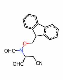 N#CC[C@@H](C=O)N(C=O)OCC1c2ccccc2-c2ccccc21